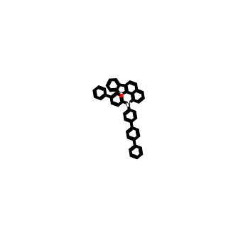 c1ccc(-c2ccc(-c3ccc(N(c4ccc(-c5ccccc5)cc4)c4cccc5ccc6c7ccccc7sc6c45)cc3)cc2)cc1